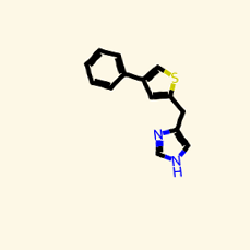 c1ccc(-c2csc(Cc3c[nH]cn3)c2)cc1